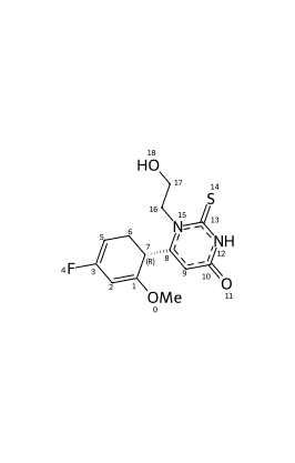 COC1=CC(F)=CC[C@@H]1c1cc(=O)[nH]c(=S)n1CCO